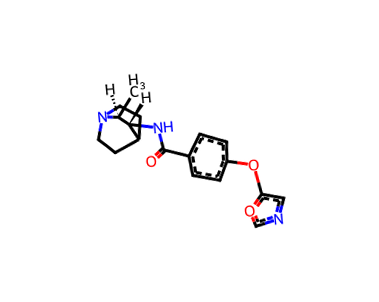 C[C@H]1[C@H](NC(=O)c2ccc(Oc3cnco3)cc2)C2CCN1CC2